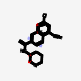 C=CN/C=C(\C=C/c1ccc(Cl)cc1SC)C(=C)NC1CN2CCC1CC2